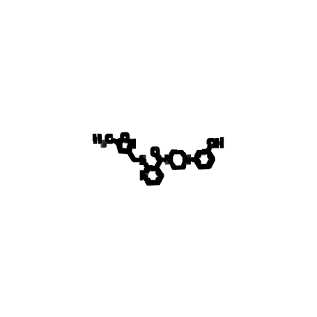 Cc1cc(CSc2ncccc2C(=O)N2CCN(c3cccc(O)c3)CC2)no1